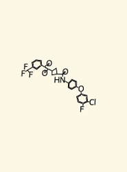 O=C(Nc1ccc(Oc2ccc(F)c(Cl)c2)cc1)C1CC(S(=O)(=O)c2cccc(C(F)(F)F)c2)C1